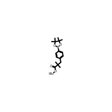 CC(C)(C)OC(=O)C(C)(C)Cc1ccc(B2OC(C)(C)C(C)(C)O2)cc1